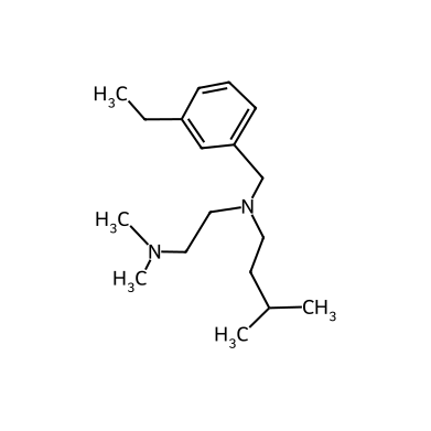 CCc1cccc(CN(CCC(C)C)CCN(C)C)c1